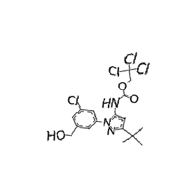 CC(C)(C)c1cc(NC(=O)OCC(Cl)(Cl)Cl)n(-c2cc(Cl)cc(CO)c2)n1